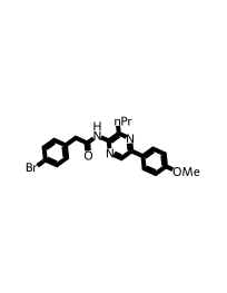 CCCc1nc(-c2ccc(OC)cc2)cnc1NC(=O)Cc1ccc(Br)cc1